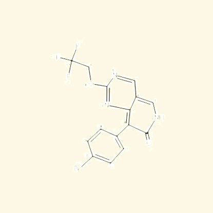 O=c1[nH]cc2cnc(OCC(F)(F)F)nc2c1-c1ccc(Br)cc1